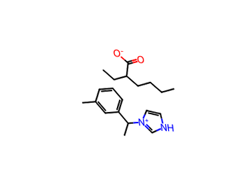 CCCCC(CC)C(=O)[O-].Cc1cccc(C(C)[n+]2cc[nH]c2)c1